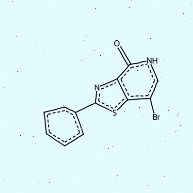 O=c1[nH]cc(Br)c2sc(-c3ccccc3)nc12